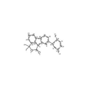 CC1(C)OC(=O)n2c3nc(-c4cc(F)ncc4F)ccc3c3cncc1c32